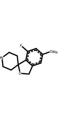 COc1cc(F)c2c(c1)COC21CCNCC1